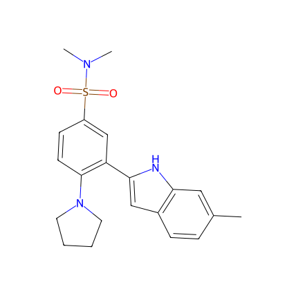 Cc1ccc2cc(-c3cc(S(=O)(=O)N(C)C)ccc3N3CCCC3)[nH]c2c1